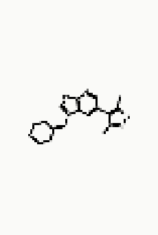 Cc1noc(C)c1-c1cnc2[nH]cc(C=C3CCSCC3)c2c1